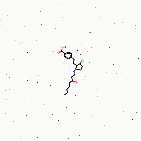 CCCCCC(O)CCCN1CCC(Cl)C1CCc1ccc(C(=O)O)cc1